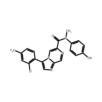 CN(C(=O)c1cn2c(-c3ccc(C(F)(F)F)cc3Cl)cnc2cn1)c1ccc(C#N)cc1